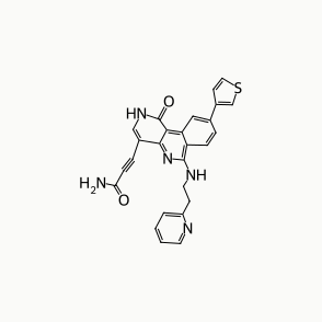 NC(=O)C#Cc1c[nH]c(=O)c2c1nc(NCCc1ccccn1)c1ccc(-c3ccsc3)cc12